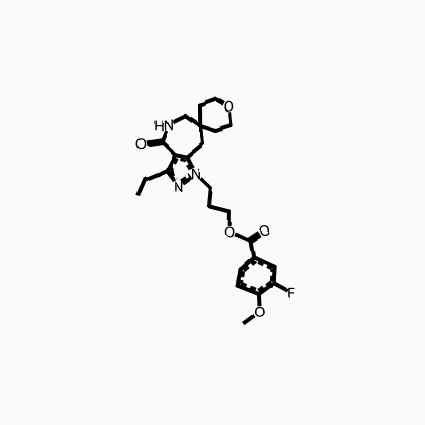 CCc1nn(CCCOC(=O)c2ccc(OC)c(F)c2)c2c1C(=O)NCC1(CCOCC1)C2